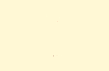 CCCCCCCCCCCC[P](=O)OCC